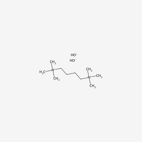 C[N+](C)(C)CCCC[N+](C)(C)C.[OH-].[OH-]